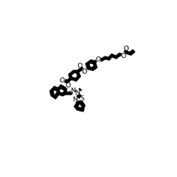 C=CC(=O)OCCCCCCOc1ccc(OC(=O)C2CCC(C(=O)Oc3cc4ccccc4cc3/C=N/N(C)c3nc4ccccc4s3)CC2)cc1